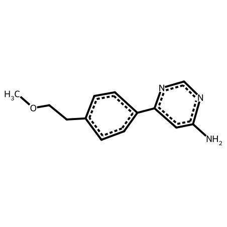 COCCc1ccc(-c2cc(N)ncn2)cc1